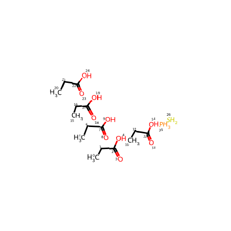 CCC(=O)O.CCC(=O)O.CCC(=O)O.CCC(=O)O.CCC(=O)O.P.S